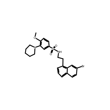 COc1ccc(S(=O)(=O)NCCc2cccc3ccc(Br)cc23)cc1N1CCCCC1